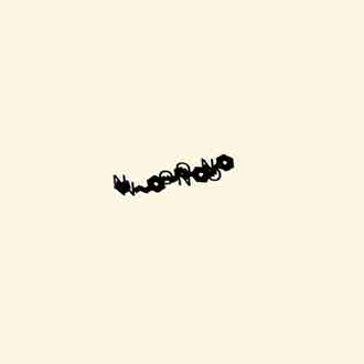 c1ccc(-c2nc3cc(-c4nc(COc5ccc(CCCn6ccnc6)cc5)co4)ccc3o2)cc1